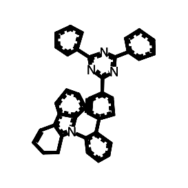 c1c(-c2nc(-c3ccccc3)nc(-c3ccccc3)n2)ccc(-c2ccccc2-n2c3c(c4ccccc42)C=CCC3)c#1